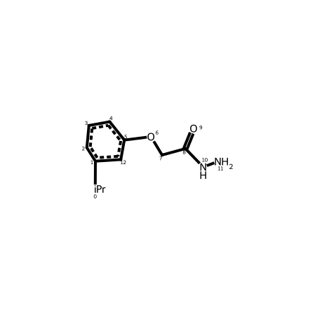 CC(C)c1cccc(OCC(=O)NN)c1